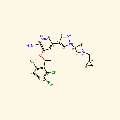 CC(Oc1cc(-c2cnn(C3CN(CC4CC4)C3)c2)cnc1N)c1c(Cl)ccc(F)c1Cl